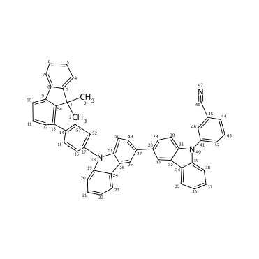 CC1(C)c2ccccc2-c2cccc(-c3ccc(-n4c5ccccc5c5cc(-c6ccc7c(c6)c6ccccc6n7-c6cccc(C#N)c6)ccc54)cc3)c21